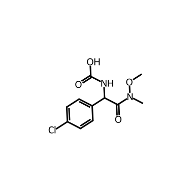 CON(C)C(=O)C(NC(=O)O)c1ccc(Cl)cc1